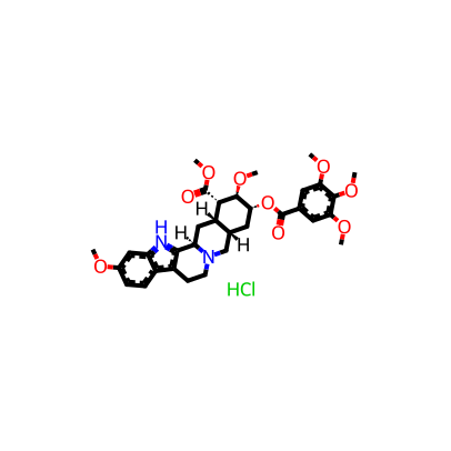 COC(=O)[C@H]1[C@H]2C[C@@H]3c4[nH]c5cc(OC)ccc5c4CCN3C[C@H]2C[C@@H](OC(=O)c2cc(OC)c(OC)c(OC)c2)[C@@H]1OC.Cl